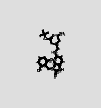 CC(C)(C)OC(=O)C[C@@H](CCN)CNc1ccc2[nH]c(=O)n(Cc3c(Cl)cccc3Cl)c2n1